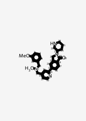 COc1cccc(CN(C)Cc2ccnc(-c3ccc4c(c3)CN(C3CCCNC3)C4=O)c2)c1